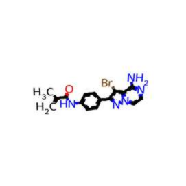 C=C(C)C(=O)Nc1ccc(-c2nn3ccnc(N)c3c2Br)cc1